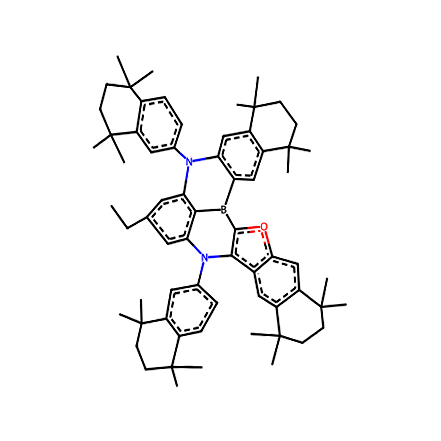 CCc1cc2c3c(c1)N(c1ccc4c(c1)C(C)(C)CCC4(C)C)c1c(oc4cc5c(cc14)C(C)(C)CCC5(C)C)B3c1cc3c(cc1N2c1ccc2c(c1)C(C)(C)CCC2(C)C)C(C)(C)CCC3(C)C